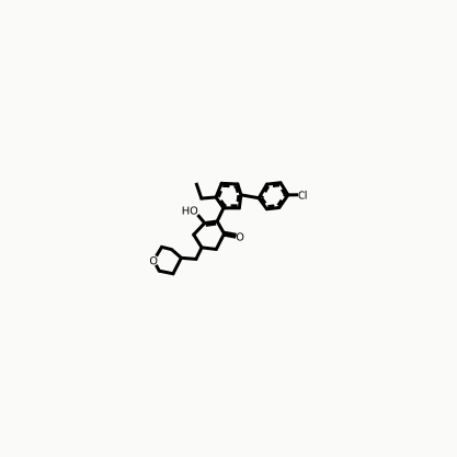 CCc1ccc(-c2ccc(Cl)cc2)cc1C1=C(O)CC(CC2CCOCC2)CC1=O